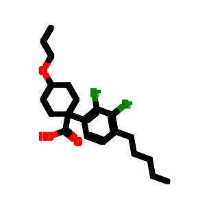 CCCCCc1ccc(C2(C(=O)O)CCC(OCCC)CC2)c(Br)c1Br